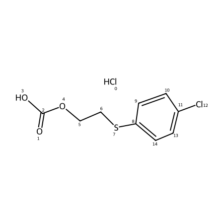 Cl.O=C(O)OCCSc1ccc(Cl)cc1